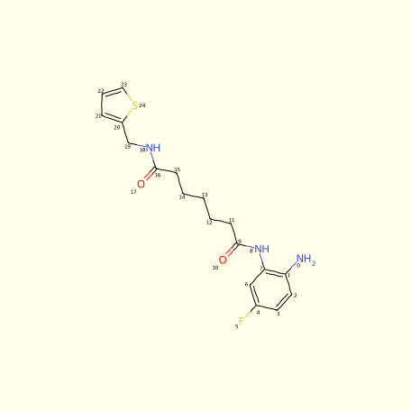 Nc1ccc(F)cc1NC(=O)CCCCCC(=O)NCc1cccs1